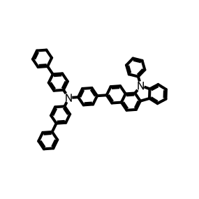 C1=CCCC(c2ccc(N(c3ccc(-c4ccccc4)cc3)c3ccc(-c4ccc5c(ccc6c7ccccc7n(-c7ccccc7)c56)c4)cc3)cc2)=C1